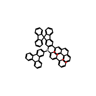 c1ccc(-c2ccc(N(c3ccc4c5ccccc5c5ccccc5c4c3)c3cc4c(cc3-c3ccc5c(ccc6ccccc65)c3)-c3ccccc3C43c4ccccc4-c4ccccc43)cc2)cc1